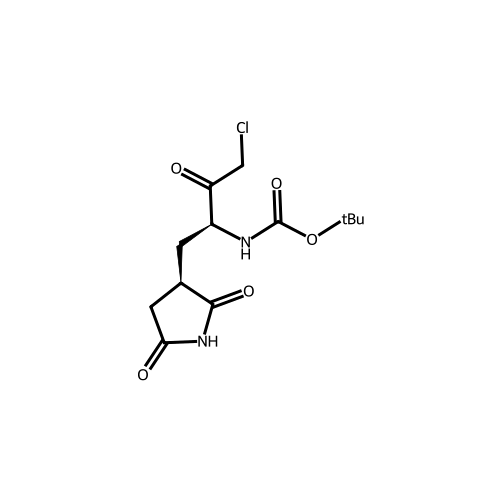 CC(C)(C)OC(=O)N[C@@H](C[C@@H]1CC(=O)NC1=O)C(=O)CCl